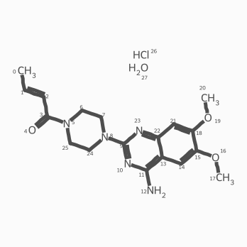 C/C=C/C(=O)N1CCN(c2nc(N)c3cc(OC)c(OC)cc3n2)CC1.Cl.O